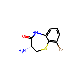 N[C@H]1CSc2c(Br)cccc2NC1=O